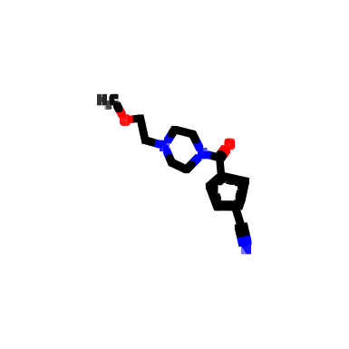 COCCN1CCN(C(=O)c2ccc(C#N)cc2)CC1